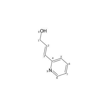 OC/C=C/c1ccccn1